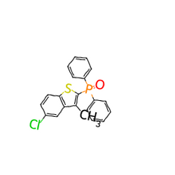 Cc1c(P(=O)(c2ccccc2)c2ccccc2)sc2ccc(Cl)cc12